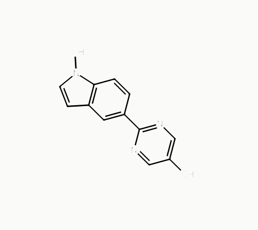 Cc1cnc(-c2ccc3c(ccn3C)c2)nc1